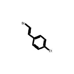 CCc1ccc(C=CBr)cc1